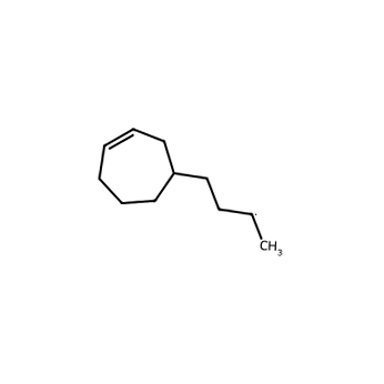 C[CH]CCC1CC=CCCC1